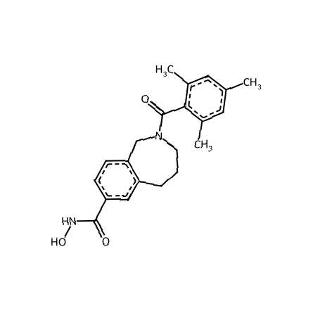 Cc1cc(C)c(C(=O)N2CCCc3cc(C(=O)NO)ccc3C2)c(C)c1